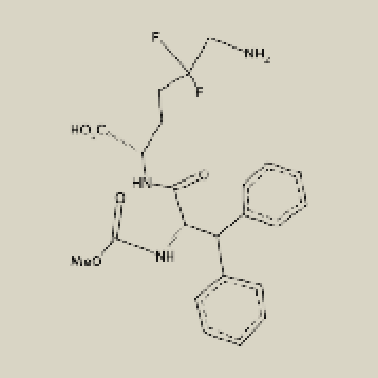 COC(=O)N[C@H](C(=O)N[C@@H](CCC(F)(F)CN)C(=O)O)C(c1ccccc1)c1ccccc1